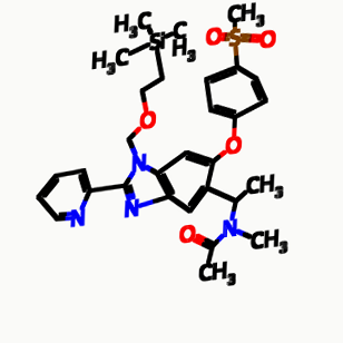 CC(=O)N(C)C(C)c1cc2nc(-c3ccccn3)n(COCC[Si](C)(C)C)c2cc1Oc1ccc(S(C)(=O)=O)cc1